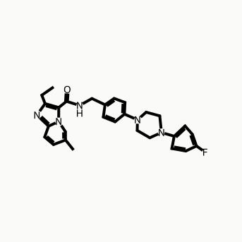 CCc1nc2ccc(C)cn2c1C(=O)NCc1ccc(N2CCN(c3ccc(F)cc3)CC2)cc1